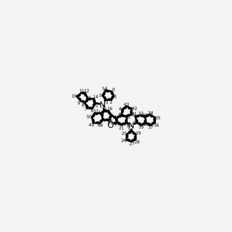 c1ccc(N(c2ccc3ccccc3c2)c2cc3c(oc4cc(N(c5ccccc5)c5ccc6ccccc6c5)c5ccccc5c43)c3ccccc23)cc1